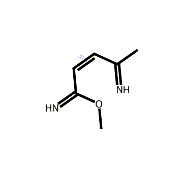 COC(=N)/C=C\C(C)=N